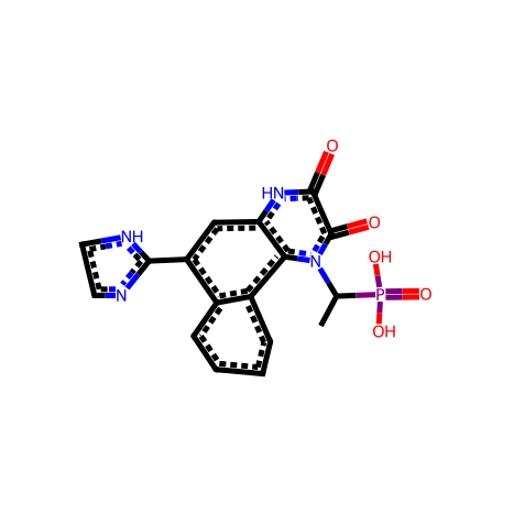 CC(n1c(=O)c(=O)[nH]c2cc(-c3ncc[nH]3)c3ccccc3c21)P(=O)(O)O